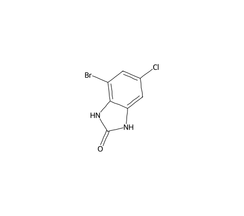 O=c1[nH]c2cc(Cl)cc(Br)c2[nH]1